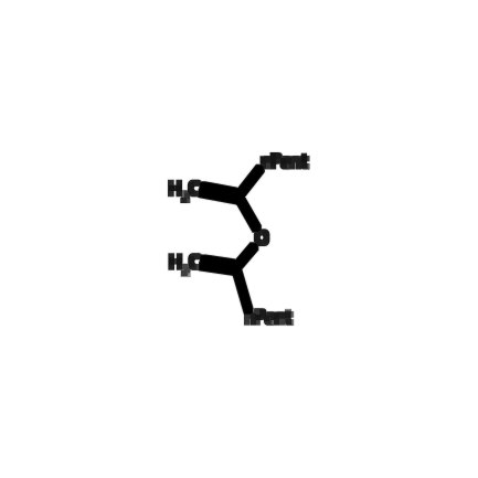 C=C(CCCCC)OC(=C)CCCCC